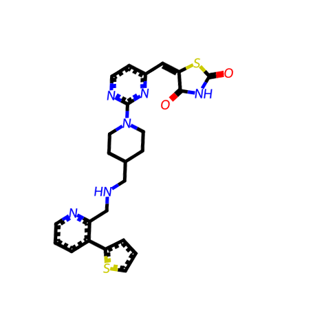 O=C1NC(=O)/C(=C\c2ccnc(N3CCC(CNCc4ncccc4-c4cccs4)CC3)n2)S1